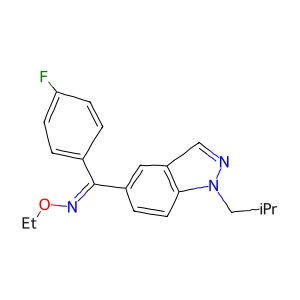 CCON=C(c1ccc(F)cc1)c1ccc2c(cnn2CC(C)C)c1